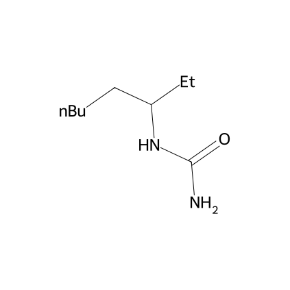 CCCCCC(CC)NC(N)=O